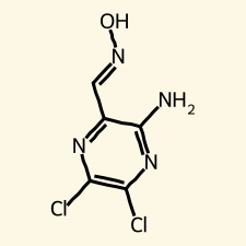 Nc1nc(Cl)c(Cl)nc1C=NO